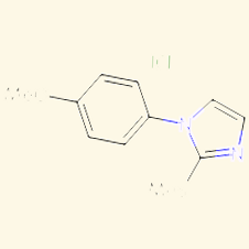 COc1ccc(-n2ccnc2SC)cc1.Cl